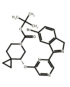 CC(C)(C)OC(=O)N1CCC2(CC2)[C@@H](Oc2cncc(C3=NCc4ccc(Br)cc43)n2)C1